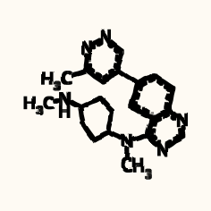 CNC1CCC(N(C)c2ncnc3ccc(-c4cnnc(C)c4)cc23)CC1